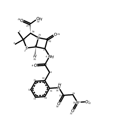 CC1(C)S[C@@H]2C(NC(=O)Cc3ccccc3NC(=O)C[N+](=O)[O-])C(=O)N2[C@H]1C(=O)O